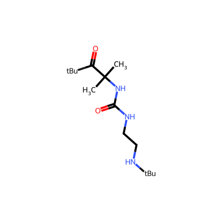 CC(C)(C)NCCNC(=O)NC(C)(C)C(=O)C(C)(C)C